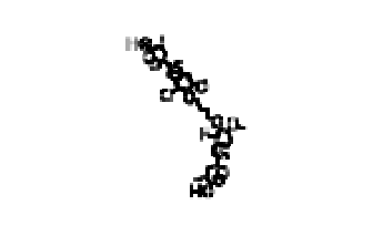 COc1cc2sc(C(=O)C[C@H](C)C(=O)O)cc2c(F)c1OCCCCOc1c(OC)cc2sc(C(=O)C[C@H](C)C(=O)O)cc2c1Cl